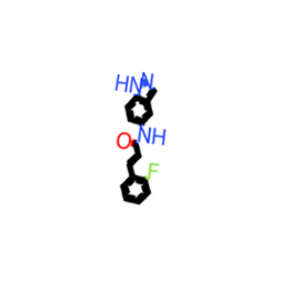 O=C(C=Cc1ccccc1F)Nc1ccc2[nH]ncc2c1